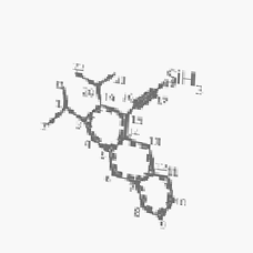 CC(C)c1cc2cc3ccccc3cc2c(C#C[SiH3])c1C(C)C